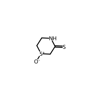 [O-][S+]1CCNC(=S)C1